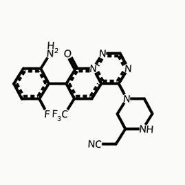 N#CCC1CN(c2ncnn3c(=O)c(-c4c(N)cccc4F)c(C(F)(F)F)cc23)CCN1